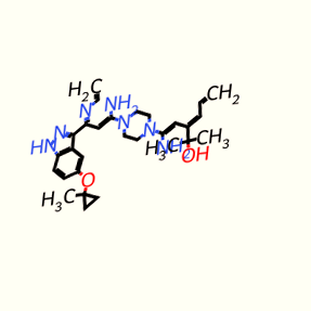 C=C/C=C(\C=C(/N)N1CCN(/C(N)=C/C(=N\C=C)c2n[nH]c3ccc(OC4(C)CC4)cc23)CC1)C(C)(C)O